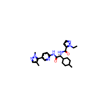 CCn1nccc1C(=O)N[C@H](C(=O)Nc1ccc(-c2c(C)cnn2C)cn1)C1CCC(C)CC1